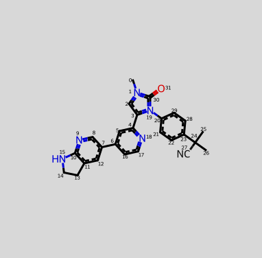 Cn1cc(-c2cc(-c3cnc4c(c3)CCN4)ccn2)n(-c2ccc(C(C)(C)C#N)cc2)c1=O